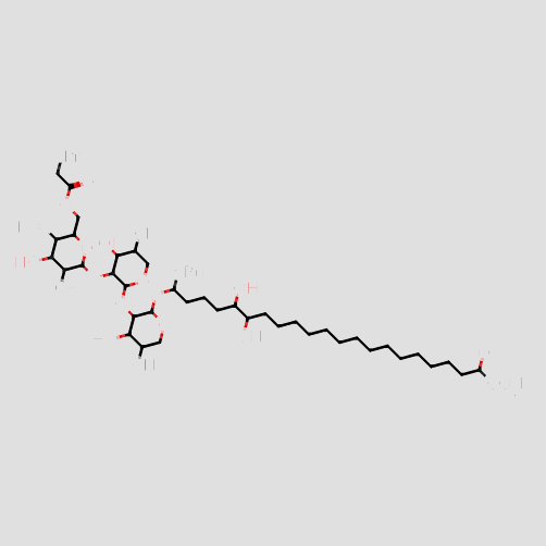 CCCCC(CCCC(O)C(O)CCCCCCCCCCCCCCC(O)C(=O)O)OC1OCC(C)C(O)C1OC1OCC(C)C(O)C1OC1OC(COC(=O)CC(C)C)C(C)C(O)C1C